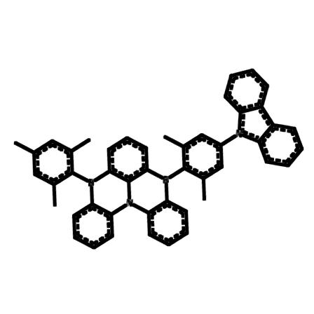 Cc1cc(C)c(B2c3ccccc3N3c4ccccc4B(c4c(C)cc(-n5c6ccccc6c6ccccc65)cc4C)c4cccc2c43)c(C)c1